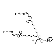 CCCCCC/C=C\COC(=O)CCCCCCCC(CCCCCCCC(=O)OC/C=C\CCCCCC)OC(C)OCCN1CCCC1